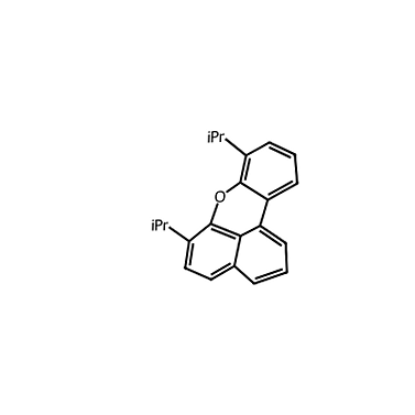 CC(C)c1cccc2c1Oc1c(C(C)C)ccc3cccc-2c13